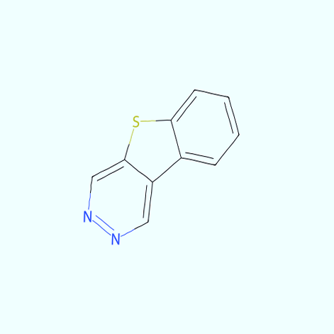 c1ccc2c(c1)sc1cnncc12